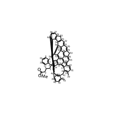 COC(=O)CCCC1(c2ccccc2)CC12c1c3c4c5c(C)ccc4c4cc6c7c8c(cc9cc%10c%11c%12c(cc%13c%14ccc(C)c(c%14c%14c2c2c1c(c7c43)c1c8c9c%11c1c2c%12c%13%14)C5)C%10)C6